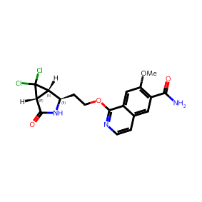 COc1cc2c(OCC[C@H]3NC(=O)[C@H]4[C@@H]3C4(Cl)Cl)nccc2cc1C(N)=O